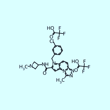 Cc1nnc2ccc3c(cc(C(=O)NC4CN(C)C4)n3Cc3cccc(Cl)c3)n12.O=C(O)C(F)(F)F.O=C(O)C(F)(F)F